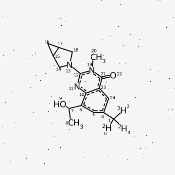 [2H]C([2H])([2H])c1cc(C(C)O)c2nc(N3CC4CC4C3)n(C)c(=O)c2c1